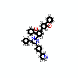 c1ccc(-c2cc(-c3ccc(-c4cccnc4)cc3)nc(-c3ccc(-c4ccc5c(c4)oc4ccccc45)c4oc5ccccc5c34)n2)cc1